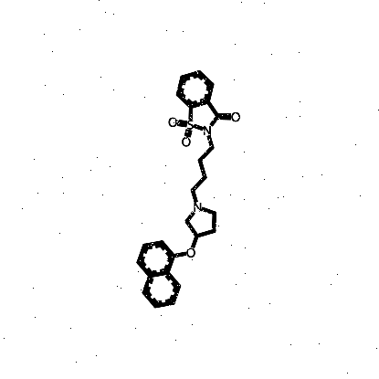 O=C1c2ccccc2S(=O)(=O)N1CCCCN1CCC(Oc2cccc3ccccc23)C1